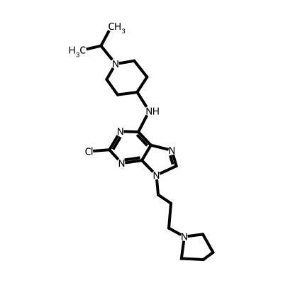 CC(C)N1CCC(Nc2nc(Cl)nc3c2ncn3CCCN2CCCC2)CC1